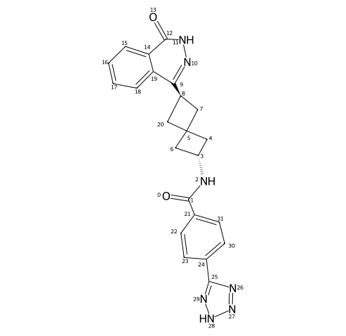 O=C(N[C@H]1CC2(C1)C[C@H](c1n[nH]c(=O)c3ccccc31)C2)c1ccc(-c2nn[nH]n2)cc1